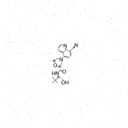 C[C@@H]1CN(c2ccc(C#N)c3ncccc23)C[C@H](C(=O)N[C@H](CO)C(C)(C)C)O1